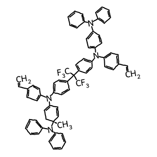 C=Cc1ccc(N(C2=CC[C@@](C)(N(c3ccccc3)c3ccccc3)C=C2)c2ccc(C(c3ccc(N(c4ccc(C=C)cc4)c4ccc(N(c5ccccc5)c5ccccc5)cc4)cc3)(C(F)(F)F)C(F)(F)F)cc2)cc1